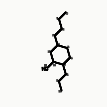 CCCCC1CCC(CCC)C(O)C1